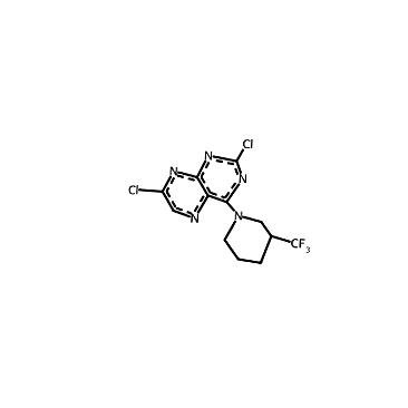 FC(F)(F)C1CCCN(c2nc(Cl)nc3nc(Cl)cnc23)C1